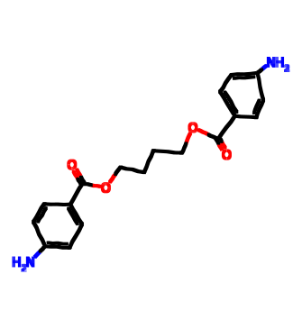 Nc1ccc(C(=O)OCCCCOC(=O)c2ccc(N)cc2)cc1